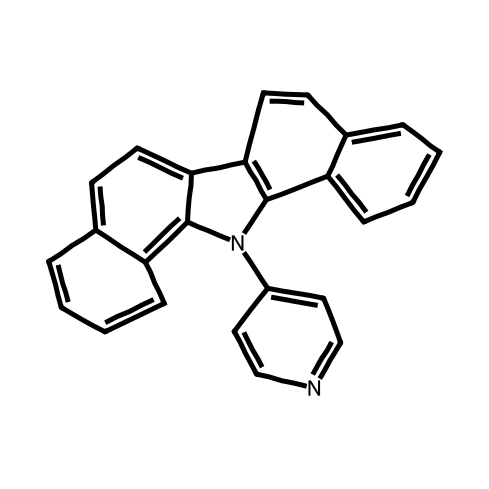 c1ccc2c(c1)ccc1c3ccc4ccccc4c3n(-c3ccncc3)c21